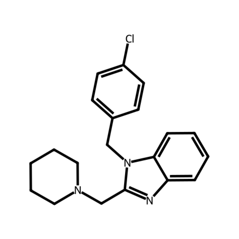 Clc1ccc(Cn2c(CN3CCCCC3)nc3ccccc32)cc1